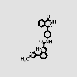 Cn1cc(-c2cccc3cc(C(=O)N[C@H]4CC[C@H](c5n[nH]c(=O)c6ccccc65)CC4)[nH]c23)cn1